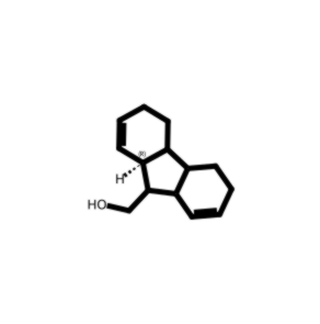 OCC1C2C=CCCC2C2CCC=C[C@H]12